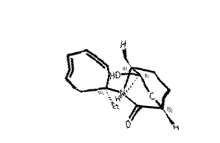 CC[C@@]1(N2C(=O)[C@H]3CC[C@@H]2[C@H](O)C3)C=CC=CC1